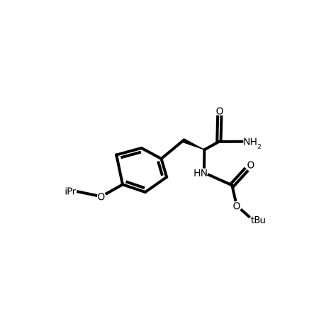 CC(C)Oc1ccc(C[C@H](NC(=O)OC(C)(C)C)C(N)=O)cc1